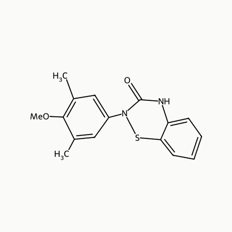 COc1c(C)cc(N2Sc3ccccc3NC2=O)cc1C